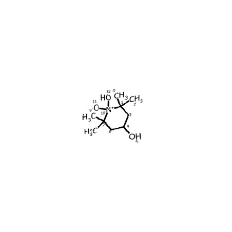 CC1(C)CC(O)CC(C)(C)[N+]1([O])O